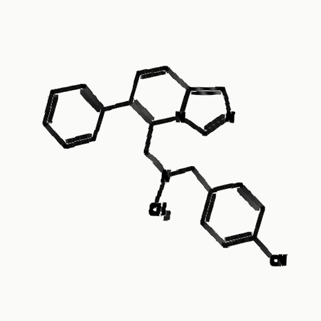 CN(Cc1ccc(C#N)cc1)Cc1c(-c2ccccc2)ccc2cncn12